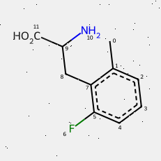 Cc1cccc(F)c1CC(N)C(=O)O